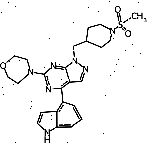 CS(=O)(=O)N1CCC(Cn2ncc3c(-c4cccc5[nH]ccc45)nc(N4CCOCC4)nc32)CC1